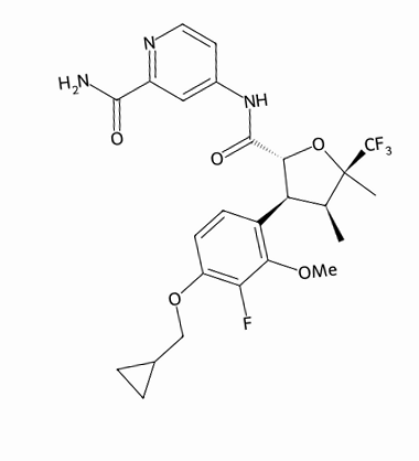 COc1c([C@H]2[C@H](C(=O)Nc3ccnc(C(N)=O)c3)O[C@@](C)(C(F)(F)F)[C@H]2C)ccc(OCC2CC2)c1F